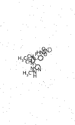 Cc1nc2c(-c3sc(C(C)(C)C)nc3-c3cccc(NS(=O)(=O)N4CCCC4)c3F)ccnc2[nH]1